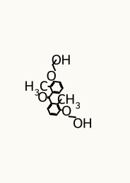 Cc1c(OCCO)cccc1C(=O)c1cccc(OCCO)c1C